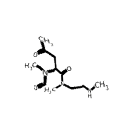 CNCCN(C)C(=O)C(CC(C)=O)N(C)C=O